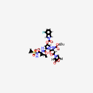 C=CC1CC1(NC(=O)[C@@H]1CC(OC(=O)N2Cc3cccc(F)c3C2)CN1C(=O)[C@H](CC(=O)N1C[C@H]2C[C@@H]1C(=O)O2)NC(=O)OC(C)(C)C)C(=O)NS(=O)(=O)C1CC1